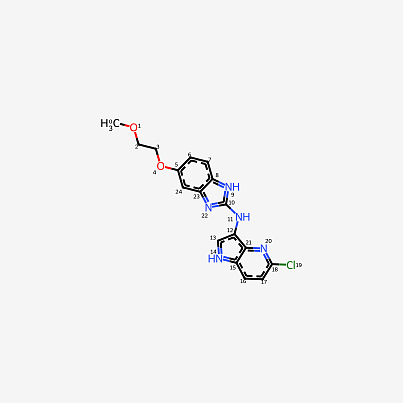 COCCOc1ccc2[nH]c(Nc3c[nH]c4ccc(Cl)nc34)nc2c1